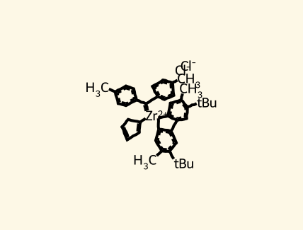 Cc1ccc([C](c2ccc(C)cc2)=[Zr+2]([C]2=CC=CC2)[CH]2c3cc(C)c(C(C)(C)C)cc3-c3cc(C(C)(C)C)c(C)cc32)cc1.[Cl-].[Cl-]